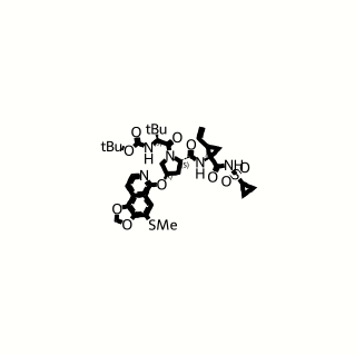 C=CC1C[C@]1(NC(=O)[C@@H]1C[C@@H](Oc2nccc3c4c(c(SC)cc23)OCO4)CN1C(=O)[C@@H](NC(=O)OC(C)(C)C)C(C)(C)C)C(=O)NS(=O)(=O)C1CC1